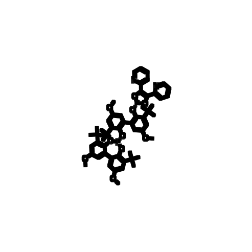 COc1cc(-c2cc(OC)cc(C(C)(C)C)c2Op2oc3c(C(C)(C)C)cc(OC)cc3c3cc(OC)cc(C(C)(C)C)c3o2)c(OP2OC(c3ccccn3)=C(c3ccccn3)O2)c(C(C)(C)C)c1